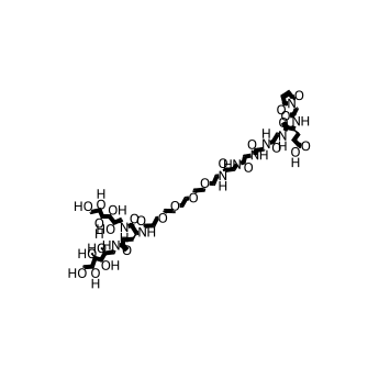 O=C(O)CC[C@H](NC(=O)CN1C(=O)C=CC1=O)C(=O)NCC(=O)NCC(=O)NCC(=O)NCC(=O)NCCOCCOCCOCCOCCC(=O)N[C@@H](CCC(=O)NC[C@H](O)[C@@H](O)[C@H](O)[C@H](O)CO)C(=O)NC[C@H](O)[C@@H](O)[C@H](O)[C@H](O)CO